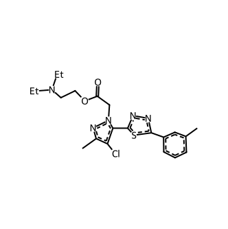 CCN(CC)CCOC(=O)Cn1nc(C)c(Cl)c1-c1nnc(-c2cccc(C)c2)s1